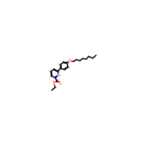 CCCCCCCCOc1ccc(-c2cccc(C(=O)OCC)n2)cc1